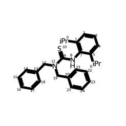 CC(C)c1cccc(C(C)C)c1NC(=S)N(Cc1ccccc1)Cc1ccccc1